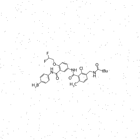 Bc1ccc(NC(=O)c2cc(NC(=O)c3c(C)ccc(CNC(=O)C(C)(C)C)c3Cl)ccc2OCC(F)F)cc1